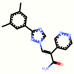 Cc1cc(C)cc(-c2ncn(/C=C(/C(N)=O)c3ccnnc3)n2)c1